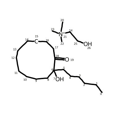 CCCCCCC1(O)CCCCCCCCCCC1=O.C[N+](C)(C)CCO